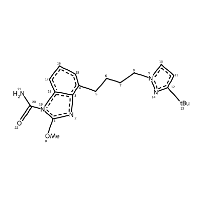 COc1nc2c(CCCCn3ccc(C(C)(C)C)n3)cccc2n1C(N)=O